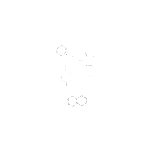 O=C(O)[C@@H](C1CCCCC1)N1C[C@H](CN2CCC(CCc3cccc4ccccc34)CC2)[C@@H](c2ccccc2)C1